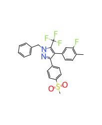 Cc1ccc(-c2c(-c3ccc(S(C)(=O)=O)cc3)nn(Cc3ccccc3)c2C(F)(F)F)cc1F